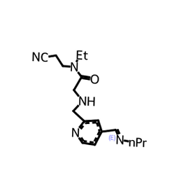 CCC/N=C/c1ccnc(CNCC(=O)N(CC)CCC#N)c1